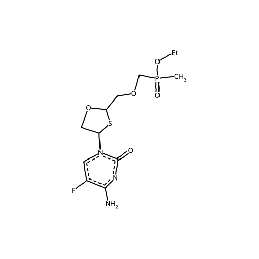 CCOP(C)(=O)COCC1OCC(n2cc(F)c(N)nc2=O)S1